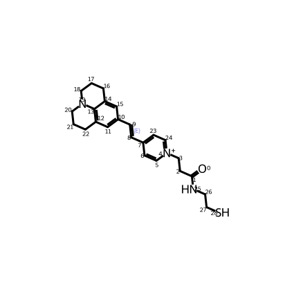 O=C(CC[n+]1ccc(/C=C/c2cc3c4c(c2)CCCN4CCC3)cc1)NCCS